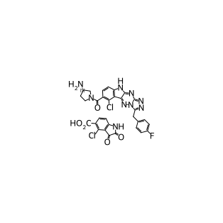 N[C@H]1CCN(C(=O)c2ccc3[nH]c4nc5nnc(Cc6ccc(F)cc6)n5nc4c3c2Cl)C1.O=C1Nc2ccc(C(=O)O)c(Cl)c2C1=O